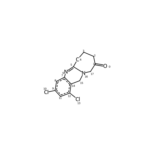 O=C1CCCC2=Nc3cc(Cl)cc(Cl)c3CN2C1